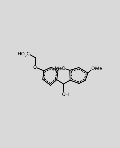 COc1ccc(C(O)c2ccc(OCC(=O)O)cc2)c(OC)c1